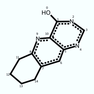 Oc1ncnc2cc3c(nc12)CCCC3